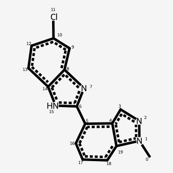 Cn1ncc2c(-c3nc4cc(Cl)ccc4[nH]3)cccc21